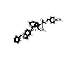 CCc1c(NC(=O)OCC2CCN(C)CC2)cn2ncnc(Nc3ccc4c(cnn4Cc4ccccc4)c3)c12